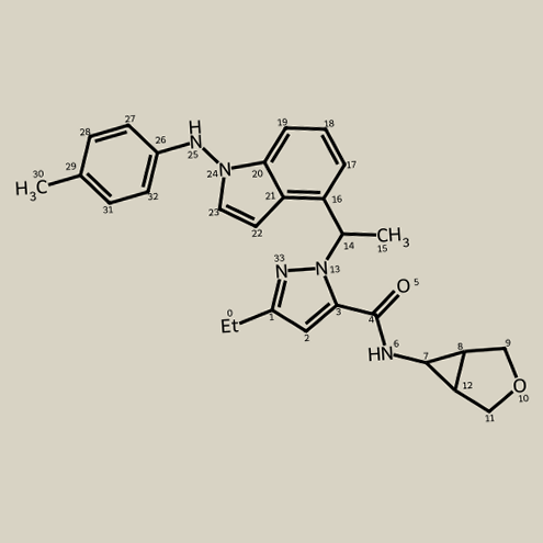 CCc1cc(C(=O)NC2C3COCC32)n(C(C)c2cccc3c2ccn3Nc2ccc(C)cc2)n1